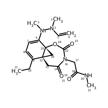 C=CN(C)N(C)C1=CC=C(CC)[C@]23CC(=O)N(CC(=O)NC)C(=O)O[C@@]12C3